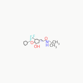 CC(C)CNC(=O)/C=C/c1cc(O)c(OCc2ccccc2)c(C(F)(F)F)c1